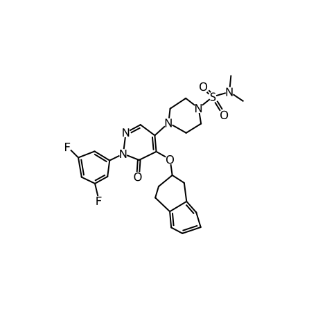 CN(C)S(=O)(=O)N1CCN(c2cnn(-c3cc(F)cc(F)c3)c(=O)c2OC2CCc3ccccc3C2)CC1